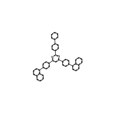 c1ccc(-c2ccc(-c3nc(-c4ccc(-c5cccc6ccccc56)cc4)cc(-c4ccc(-c5cccc6ccccc56)cc4)n3)cc2)cc1